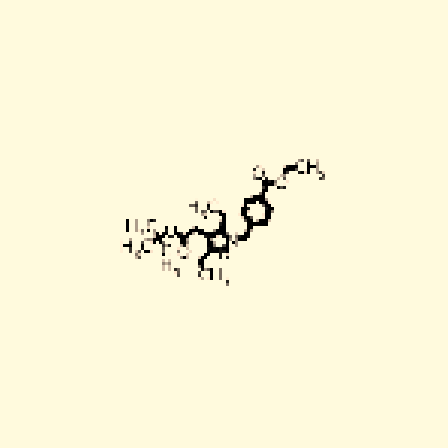 CCOC(=O)c1ccc(Cn2nc(CC)c(CC(=O)OC(C)(C)C)c2CC)cc1